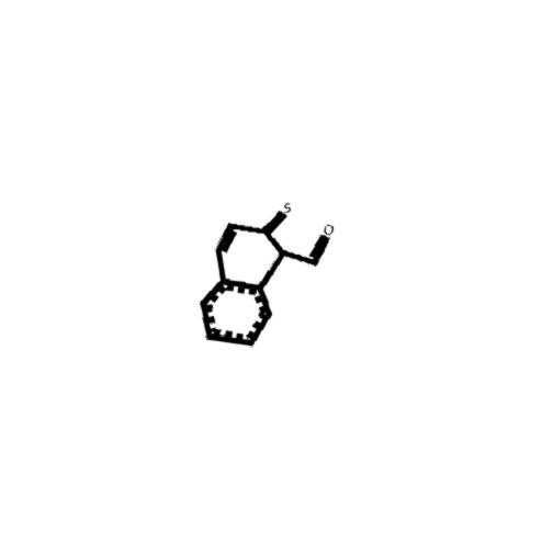 O=[C]C1C(=S)C=Cc2ccccc21